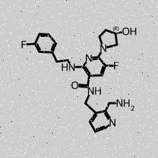 NCc1ncccc1CNC(=O)c1cc(F)c(N2CC[C@@H](O)C2)nc1NCCc1cccc(F)c1